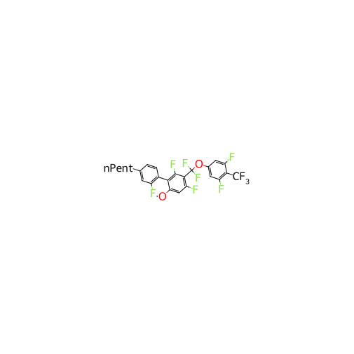 CCCCCc1ccc(-c2c([O])cc(F)c(C(F)(F)Oc3cc(F)c(C(F)(F)F)c(F)c3)c2F)c(F)c1